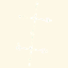 FC(F)(Cl)Cl.FC(F)(F)Cl